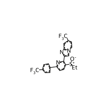 CC[S+]([O-])c1ccc(-c2ccc(C(F)(F)F)cc2)nc1-c1cn2ccc(C(F)(F)F)cc2n1